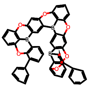 c1ccc(-c2cccc3c2Oc2cccc4c2B3c2cc3c(cc2O4)Oc2cccc4c2B3c2cc3c(cc2O4)Oc2cccc4c2B3c2cccc(-c3ccccc3)c2O4)cc1